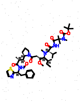 CC[C@H](C)[C@@H]([C@@H](CC(=O)N1CCC[C@H]1[C@H](OC)[C@@H](C)C(=O)N[C@@H](Cc1ccccc1)c1nccs1)OC)N(C)[C@H](C(=O)NC(=O)C(C)(C)N(C)C(=O)OC(C)(C)C)C(C)C